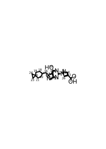 O=C(O)c1cnn(-c2nc(O)c3c(cnn3CC3CCC4(CC3)CC4)n2)c1